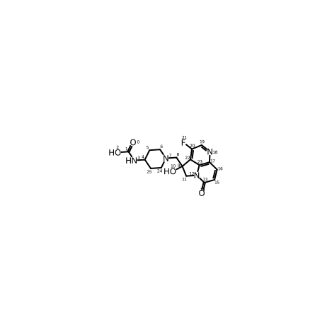 O=C(O)NC1CCN(CC2(O)Cn3c(=O)ccc4ncc(F)c2c43)CC1